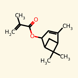 C=C(C)C(=O)OC1C=C(C)C2CC1C2(C)C